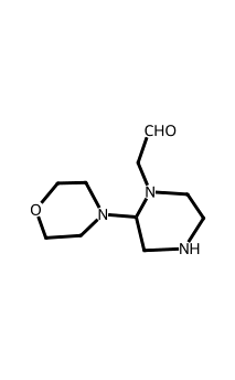 O=CCN1CCNCC1N1CCOCC1